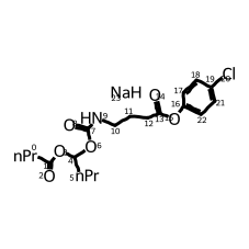 CCCC(=O)OC(CCC)OC(=O)NCCCC(=O)Oc1ccc(Cl)cc1.[NaH]